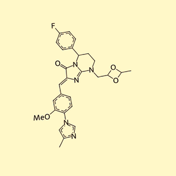 COc1cc(/C=C2\N=C3N(CC4OC(C)O4)CCC(c4ccc(F)cc4)N3C2=O)ccc1-n1cnc(C)c1